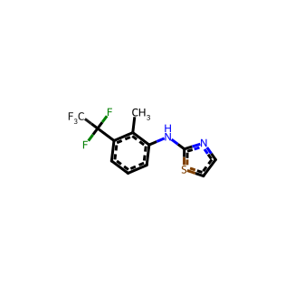 Cc1c(Nc2nccs2)cccc1C(F)(F)C(F)(F)F